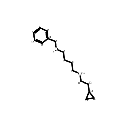 c1ccc(COCCCCOCCC2CC2)cc1